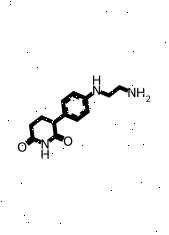 NCCNc1ccc(C2CCC(=O)NC2=O)cc1